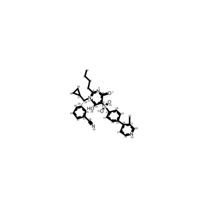 CCCCc1nc(=O)c(S(=O)(=O)c2ccc(-c3ccncc3C)cc2)c(O)n1[C@H](c1cccc(C#N)c1)C1CC1